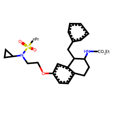 CCCS(=O)(=O)N(CCOc1ccc2c(c1)C(Cc1ccccc1)C(NC(=O)OCC)CC2)C1CC1